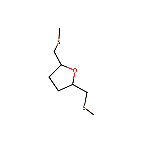 CSCC1CCC(CSC)O1